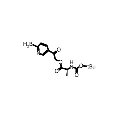 Bc1ccc(C(=O)COC(=O)[C@H](C)NC(=O)OC(C)(C)C)cn1